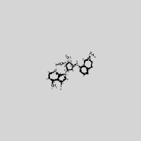 CN1CCc2cccc(O[C@H]3C[C@@H](n4cc(F)c5c(N)ccnc54)[C@H](O)[C@@H]3O)c2C1